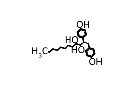 CCCCCCCCCCC(Cc1ccc(O)cc1O)c1ccc(O)cc1O